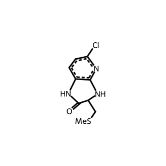 CSCC1Nc2nc(Cl)ccc2NC1=O